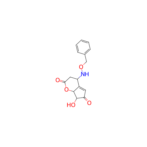 O=C1CC(NOCc2ccccc2)C2=CC(=O)C(O)C2O1